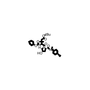 C#Cc1ccc(C(C)NC(=O)[C@@H]2C[C@@H](O)CN2C(=O)C(NC(=O)Oc2ccccc2)C(C)(C)CC(=O)OC(C)(C)C)cc1